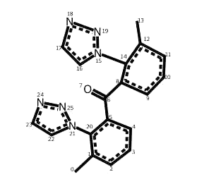 Cc1cccc(C(=O)c2cccc(C)c2-n2ccnn2)c1-n1ccnn1